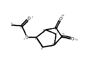 CC(=O)OC1CC2CC1C(=O)C2=O